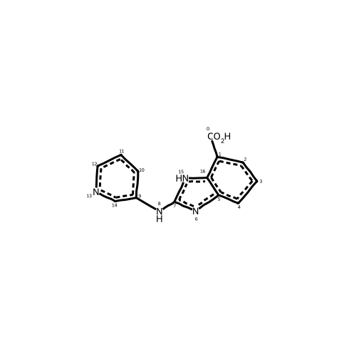 O=C(O)c1cccc2nc(Nc3cccnc3)[nH]c12